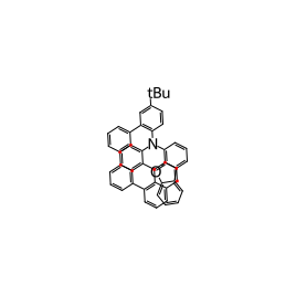 CC(C)(C)c1ccc(N(c2ccccc2-c2cccc3cccc(-c4ccccc4)c23)c2cccc3c2oc2ccccc23)c(-c2ccccc2)c1